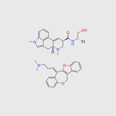 CC[C@@H](CO)NC(=O)[C@@H]1C=C2c3cccc4c3c(cn4C)C[C@H]2N(C)C1.CN(C)CC/C=C1\c2ccccc2OCc2c1oc1ccccc21